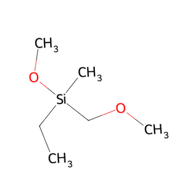 CC[Si](C)(COC)OC